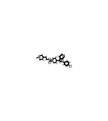 CN1CCC(CCNC(=O)N2CCC(c3cn(-c4ccc(Cl)cc4)c4cnccc34)CC2)CC1